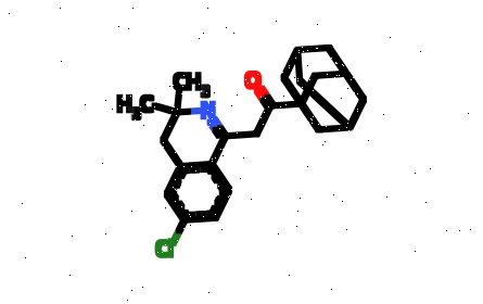 CC1(C)Cc2cc(Cl)ccc2C(CC(=O)C23CC4CC(CC(C4)C2)C3)=N1